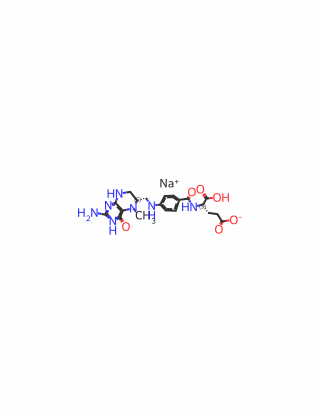 CN1c2c(nc(N)[nH]c2=O)NC[C@@H]1CNc1ccc(C(=O)N[C@@H](CCC(=O)[O-])C(=O)O)cc1.[Na+]